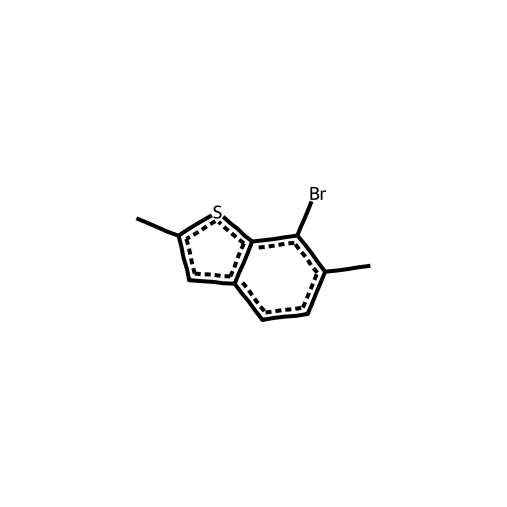 Cc1cc2ccc(C)c(Br)c2s1